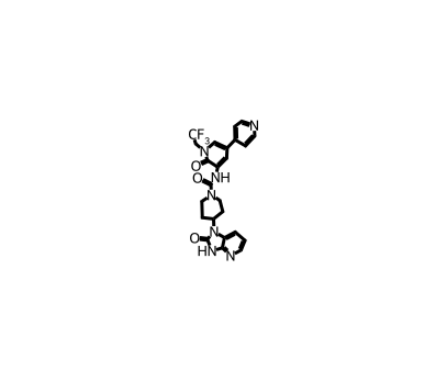 O=C(Nc1cc(-c2ccncc2)cn(CC(F)(F)F)c1=O)N1CCC(n2c(=O)[nH]c3ncccc32)CC1